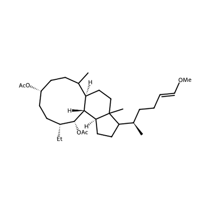 CC[C@@H]1CC[C@H](OC(C)=O)CCC(C)[C@H]2CCC3(C)C([C@H](C)CC/C=C/OC)CC[C@H]3[C@@H]2[C@@H]1OC(C)=O